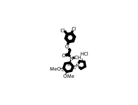 CO[C@H]1C[C@@H](N2CCCC2)[C@H](N(C)C(=O)COc2ccc(Cl)c(Cl)c2)C[C@H]1OC.Cl